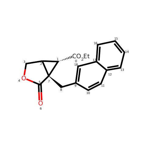 CCOC(=O)[C@H]1C2COC(=O)[C@]21Cc1ccc2ccccc2c1